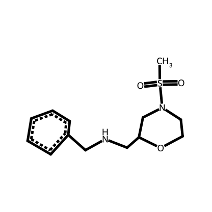 CS(=O)(=O)N1CCOC(CNCc2ccccc2)C1